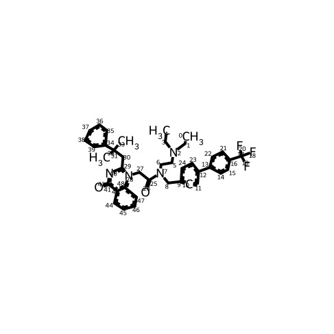 CCN(CC)CCN(Cc1ccc(-c2ccc(C(F)(F)F)cc2)cc1)C(=O)Cn1c(CC(C)(C)c2ccccc2)nc(=O)c2ccccc21